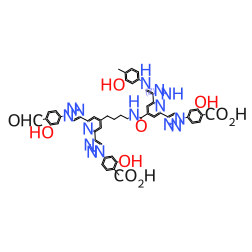 Cc1ccc(N/C=C(\N=N)c2cc(C(=O)NCCCCc3cc(-c4cn(-c5ccc(C=O)c(O)c5)nn4)nc(-c4cn(-c5ccc(C(=O)O)c(O)c5)nn4)c3)cc(-c3cn(-c4ccc(C(=O)O)c(O)c4)nn3)n2)cc1O